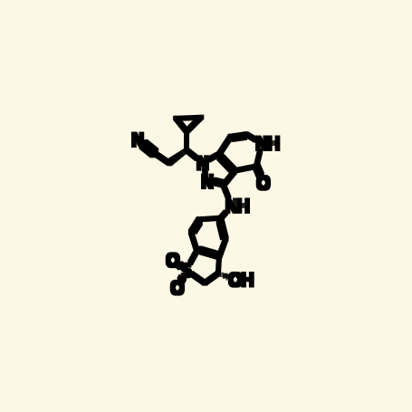 N#CC[C@@H](C1CC1)n1nc(Nc2ccc3c(c2)[C@H](O)CS3(=O)=O)c2c(=O)[nH]ccc21